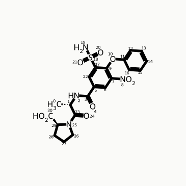 C[C@H](NC(=O)c1cc([N+](=O)[O-])c(Oc2ccccc2)c(S(N)(=O)=O)c1)C(=O)N1CCC[C@H]1C(=O)O